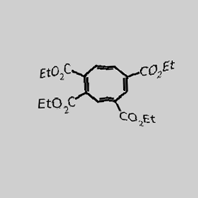 CCOC(=O)C1=CC(C(=O)OCC)=CC(C(=O)OCC)=C(C(=O)OCC)C=C1